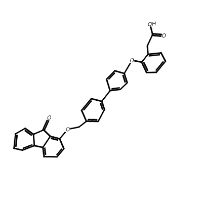 O=C(O)Cc1ccccc1Oc1ccc(-c2ccc(COc3cccc4c3C(=O)c3ccccc3-4)cc2)cc1